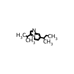 CCC(C)c1ccn2c(C(C)C)cnc2c1